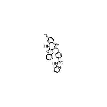 O=C(Nc1ccccn1)c1ccc(CN2C(=O)c3ccc(Cl)cc3NC(=O)[C@H]2Cc2ccccn2)cc1